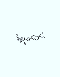 CCCN(CCC)c1ccc2cc(-c3ccc(/C(C)=C(\C#N)S(=O)(=O)NCCOC)o3)ccc2c1